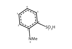 CNc1cc[c]cc1S(=O)(=O)O